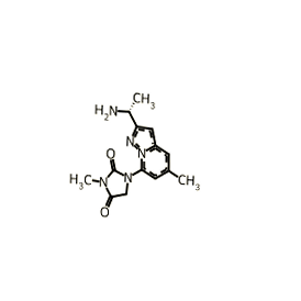 Cc1cc(N2CC(=O)N(C)C2=O)n2nc([C@@H](C)N)cc2c1